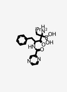 CC(C)CC(N)(B(O)O)C(=O)C(Cc1ccccc1)NC(=O)c1cnccn1